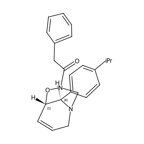 CC(C)c1ccc([C@@H]2[C@@H]3C=CCN2CN(C(=O)Cc2ccccc2)O3)cc1